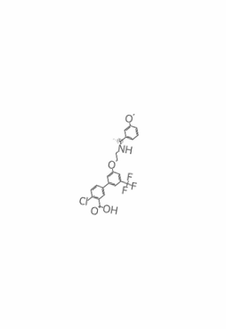 COc1cccc([C@@H](C)NCCOc2cc(-c3ccc(Cl)c(C(=O)O)c3)cc(C(F)(F)F)c2)c1